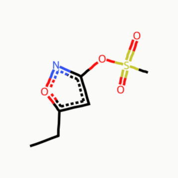 CCc1cc(OS(C)(=O)=O)no1